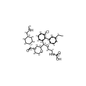 CCc1cccc(-c2c(Cl)cccc2C(OCCNC(=O)O)C2CN(C(=O)[C@H]3CC[C@H](CNC)CC3)CCO2)c1